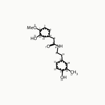 COc1ccc(CC(=O)NCCc2ccc(O)c(C)c2)cc1O